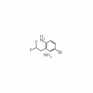 N.Nc1ccc(Br)cc1CC(F)F